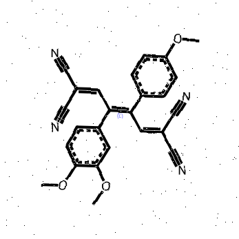 COc1ccc(/C(C=C(C#N)C#N)=C(\C=C(C#N)C#N)c2ccc(OC)c(OC)c2)cc1